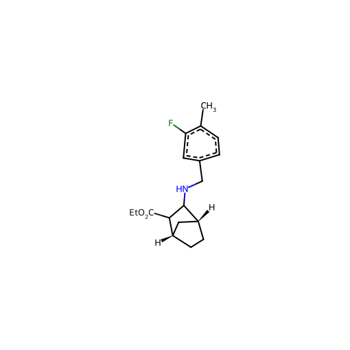 CCOC(=O)C1C(NCc2ccc(C)c(F)c2)[C@@H]2CC[C@H]1C2